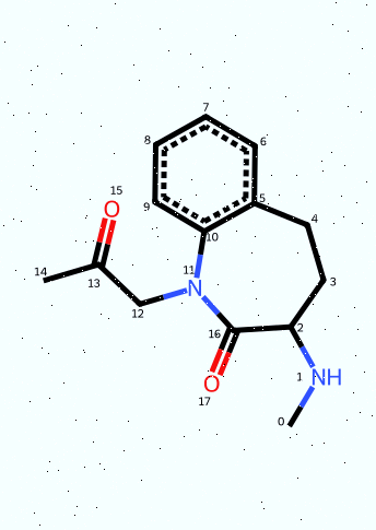 CNC1CCc2ccccc2N(CC(C)=O)C1=O